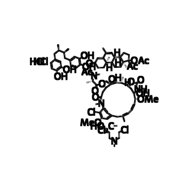 CC(=O)O.CC(=O)O[C@]1(C(C)=O)CC[C@H]2[C@@H]3C=C(C)C4=CC(=O)CC[C@]4(C)[C@H]3CC[C@@]21C.CN(CCCl)CCCl.COc1cc2cc(c1Cl)N(C)C(=O)C[C@H](OC(=O)[C@H](C)N(C)C(C)=O)[C@]1(C)O[C@H]1[C@H](C)[C@@H]1C[C@@](O)(NC(=O)O1)[C@H](OC)/C=C\C=C(\C)C2.C[C@H](Cc1ccc(O)c(O)c1)[C@@H](C)Cc1ccc(O)c(O)c1.Cl.Cl